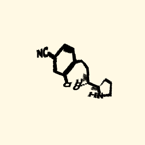 N#Cc1ccc(C[C@@H](O)[C@@H]2CCCN2)c(Cl)c1